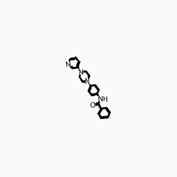 O=C(Nc1ccc(N2CCN(c3cccnc3)CC2)cc1)c1cc[c]cc1